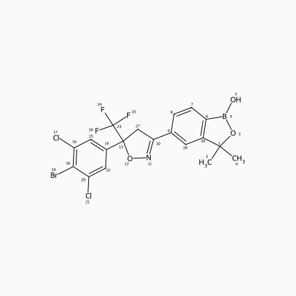 CC1(C)OB(O)c2ccc(C3=NOC(c4cc(Cl)c(Br)c(Cl)c4)(C(F)(F)F)C3)cc21